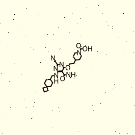 CNC(=O)c1c(NCC2CCC3(CCC3)CC2)nc(C#N)nc1OCCC1CCN(C(=O)O)CC1